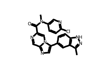 Cc1n[nH]c2ccc(-c3cnc4cnc(C(=O)N(C)c5ccc(Cl)nc5)cn34)cc12